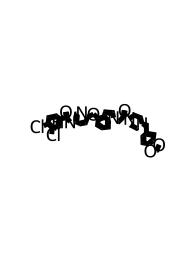 O=C(Nc1ccc(Oc2cccc3c2ccn3CC(=O)N2CCN(Cc3ccc4c(c3)OCO4)CC2)nc1)c1ccc(Cl)c(Cl)c1